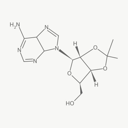 CC1(C)O[C@@H]2[C@H](O1)[C@@H](CO)O[C@H]2N1C=NC2C(N)=NC=NC21